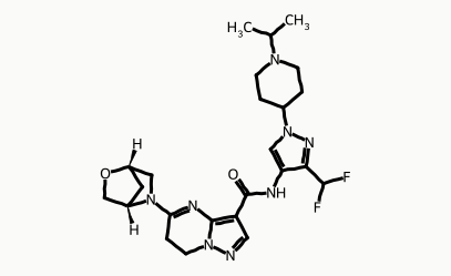 CC(C)N1CCC(n2cc(NC(=O)c3cnn4c3N=C(N3C[C@@H]5C[C@H]3CO5)CC4)c(C(F)F)n2)CC1